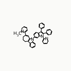 CN1CC=CC=C1C1=Cc2c(c3ccccc3n2-c2ccc3c(-c4ccccc4)c(-c4ccccc4)n(-c4ccccn4)c3c2)CCC1